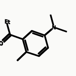 CCC(=O)c1cc(N(C)C)ccc1C